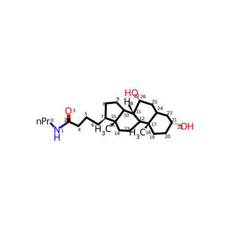 CCCNC(=O)CCC[C@H]1CCC2[C@H]3C(CC[C@@]21C)[C@@]1(C)CC[C@@H](O)CC1C[C@H]3O